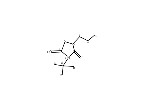 C=C1C(CCC)CC(=O)N1C(C)(C)C